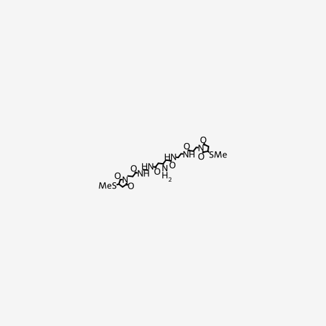 CSC1CC(=O)N(CCC(=O)NCCNC(=O)CC(N)CC(=O)NCCNC(=O)CCN2C(=O)CC(SC)C2=O)C1=O